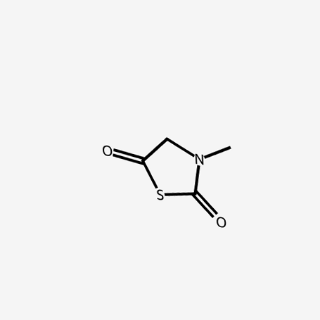 CN1CC(=O)SC1=O